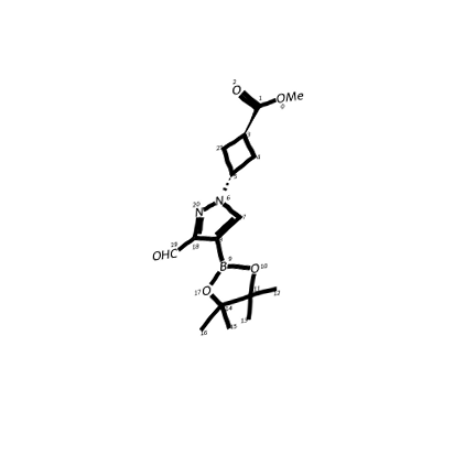 COC(=O)[C@H]1C[C@H](n2cc(B3OC(C)(C)C(C)(C)O3)c(C=O)n2)C1